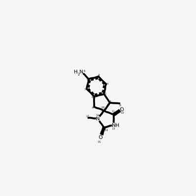 CC1c2ccc(N)cc2CC12C(=O)NC(=O)N2C